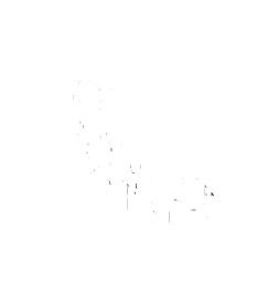 O=S(=O)(NCC(O)c1ccncc1)c1ccc(Oc2ccccc2)cc1